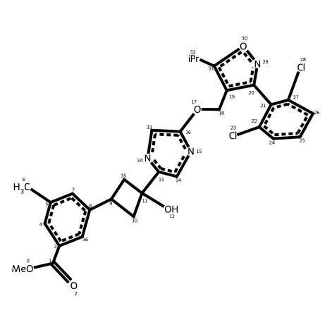 COC(=O)c1cc(C)cc(C2CC(O)(c3cnc(OCc4c(-c5c(Cl)cccc5Cl)noc4C(C)C)cn3)C2)c1